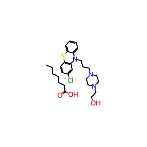 CCCCCCC(=O)O.OCCN1CCN(CCCN2c3ccccc3Sc3ccc(Cl)cc32)CC1